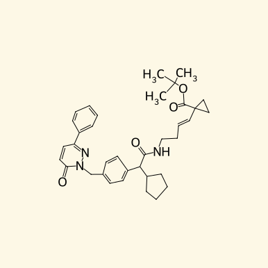 CC(C)(C)OC(=O)C1(C=CCCNC(=O)C(c2ccc(Cn3nc(-c4ccccc4)ccc3=O)cc2)C2CCCC2)CC1